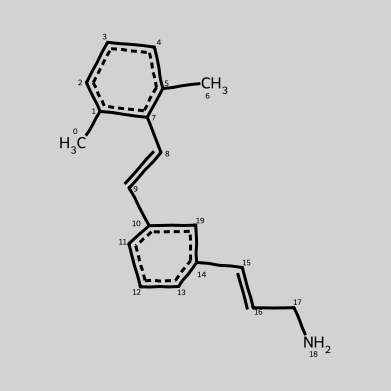 Cc1cccc(C)c1C=Cc1cccc(/C=C/CN)c1